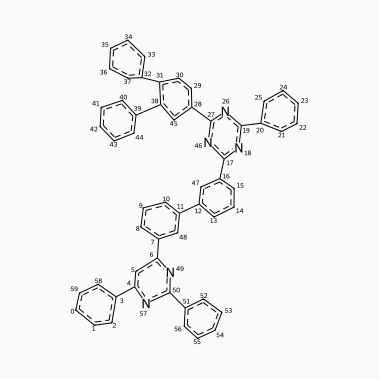 c1ccc(-c2cc(-c3cccc(-c4cccc(-c5nc(-c6ccccc6)nc(-c6ccc(-c7ccccc7)c(-c7ccccc7)c6)n5)c4)c3)nc(-c3ccccc3)n2)cc1